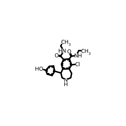 CCNC(=O)c1cc2c(c(Cl)c1C(=O)NCC)CCNCC2c1ccc(O)cc1